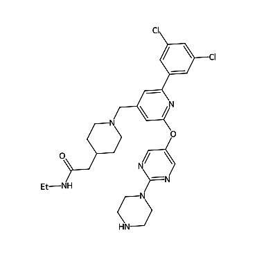 CCNC(=O)CC1CCN(Cc2cc(Oc3cnc(N4CCNCC4)nc3)nc(-c3cc(Cl)cc(Cl)c3)c2)CC1